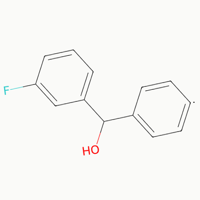 OC(c1cc[c]cc1)c1cccc(F)c1